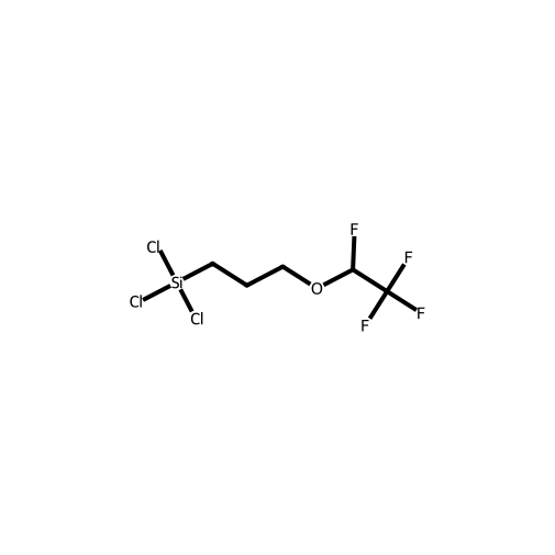 FC(OCCC[Si](Cl)(Cl)Cl)C(F)(F)F